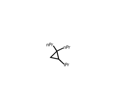 CCCC1(CCC)CC1C(C)C